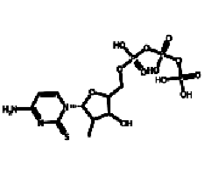 CC1C(O)C(COP(=O)(O)OP(=O)(O)OP(=O)(O)O)O[C@H]1n1ccc(N)nc1=S